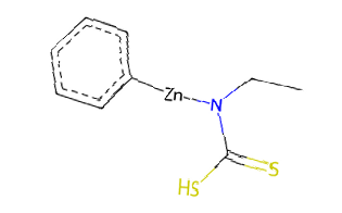 CC[N]([Zn][c]1ccccc1)C(=S)S